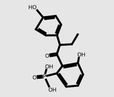 CCC(C(=O)c1c(O)cccc1P(=O)(O)O)c1ccc(O)cc1